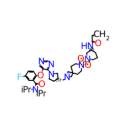 C=CC(=O)N[C@@H]1CCCN(S(=O)(=O)N2CCC3(CC2)CN(C[C@@H]2CCN(c4ncncc4Oc4ccc(F)cc4C(=O)N(C(C)C)C(C)C)C2)C3)C1